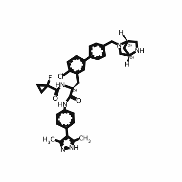 Cc1n[nH]c(C)c1-c1ccc(NC(=O)[C@H](Cc2cc(-c3ccc(CN4C[C@@H]5C[C@H]4CN5)cc3)ccc2Cl)NC(=O)C2(F)CC2)cc1